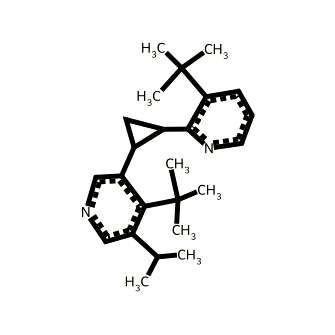 CC(C)c1cncc(C2CC2c2ncccc2C(C)(C)C)c1C(C)(C)C